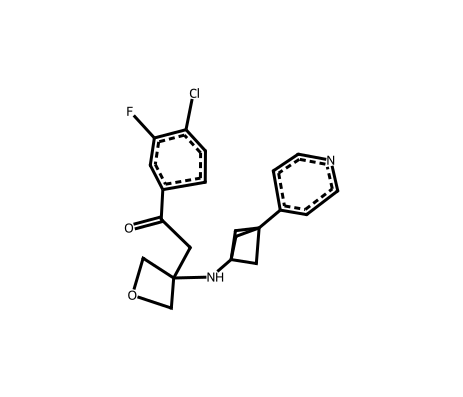 O=C(CC1(NC23CC(c4ccncc4)(C2)C3)COC1)c1ccc(Cl)c(F)c1